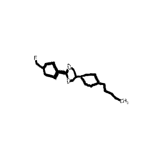 CCCCCC1CCC(C2COC(C3CCC(CF)CC3)OC2)CC1